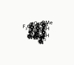 CCCCCCCCOc1ccc(Nc2nc(-c3cccnc3C#N)cs2)cc1C(F)(F)F.CCCCCCCCOc1ccc(Nc2nc(-c3cccnc3C(N)=O)cs2)cc1C(F)(F)F.COc1ccc(NC(=O)c2ccc(Nc3nc(-c4cccnc4)cs3)cc2)cc1